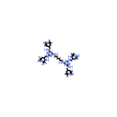 CC1(C)CC(CNc2nc(NCCCCCCNc3nc(NCC4CC(C)(C)NC(C)(C)C4)nc(NCC4CC(C)(C)NC(C)(C)C4)n3)nc(NCC3CC(C)(C)NC(C)(C)C3)n2)CC(C)(C)N1